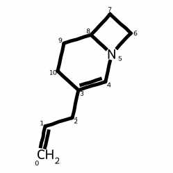 C=C[CH]C1=CN2CCC2CC1